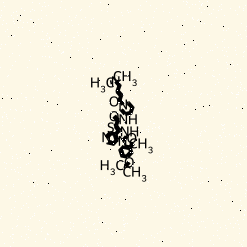 Cc1cc(OC(C)C)ccc1N1C(=O)Nc2c(C(=O)NC3CCCN(C(=O)C=CCN(C)C)C3)sc3nccc1c23